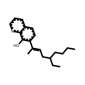 CCCCC(CC)CC=C(C)c1ccc2cccnc2c1O